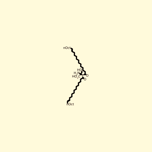 CCCCCCCCC=CCCCCCCCCCCCC(=O)P(C(=O)CCCCCCCCCCCC=CCCCCCCCC)C(N)(CO)C(=O)O